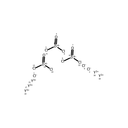 [Cl-].[Cl-].[Cl-].[O]=[Zr-4]([Cl])[Cl].[O]=[Zr-4]([Cl])[Cl].[O]=[Zr-4]([Cl])[Cl].[Y+3].[Y+3].[Y+3].[Y+3].[Y+3]